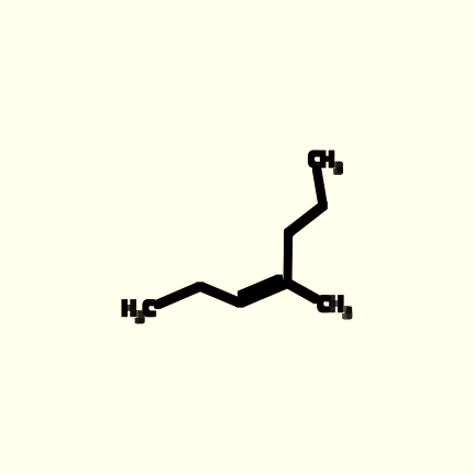 CCC=C(C)CCC